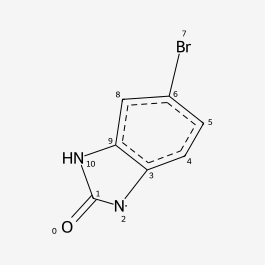 O=C1[N]c2ccc(Br)cc2N1